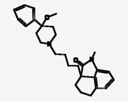 COC1(c2ccccc2)CCN(CCCCC23CCCc4cccc(c42)N(C)C3=O)CC1